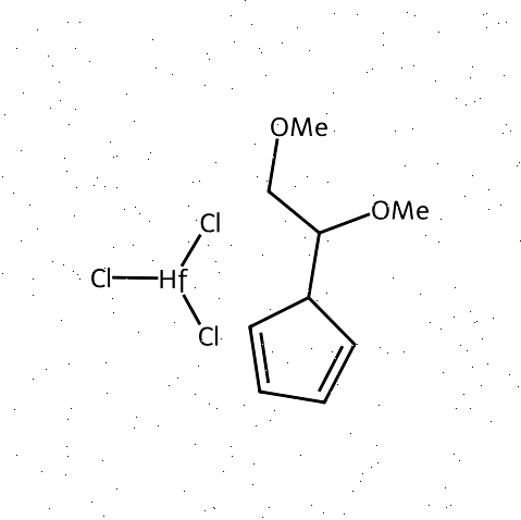 COCC(OC)C1C=CC=C1.[Cl][Hf]([Cl])[Cl]